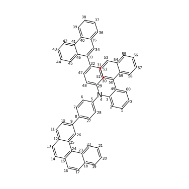 c1ccc(N(c2ccc(-c3ccc4ccc5ccc6ccccc6c5c4c3)cc2)c2ccc(-c3cc4ccccc4c4ccccc34)cc2)c(-c2cccc3ccccc23)c1